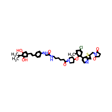 Cc1cc(Cl)cc(-c2ccnc3cc(CN4C(=O)CCC4=O)sc23)c1OC1CCN(C(=O)CCCCCNC(=O)CNc2ccc(/C=C/c3cc(O)c(C(C)C)c(O)c3)cc2)CC1